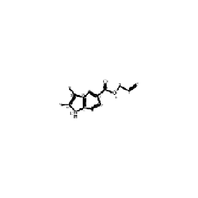 C=CCOC(=O)c1ccc2[nH]c(C)c(C)c2c1